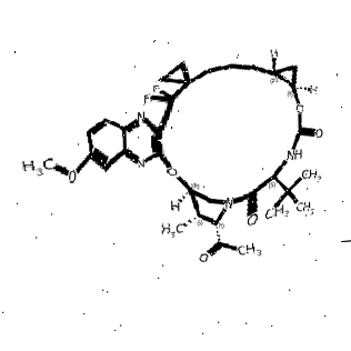 COc1ccc2nc3c(nc2c1)O[C@H]1CN(C(=O)[C@H](C(C)(C)C)NC(=O)O[C@@H]2C[C@H]2CCCC2(CC2)C3(F)F)[C@H](C(C)=O)[C@@H]1C